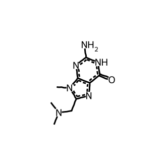 CN(C)Cc1nc2c(=O)[nH]c(N)nc2n1C